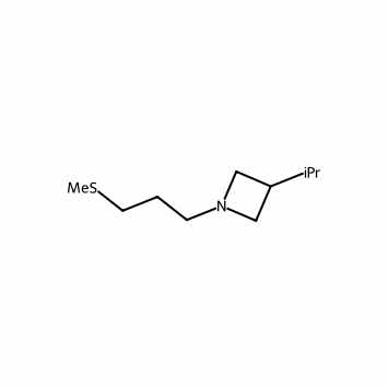 CSCCCN1CC(C(C)C)C1